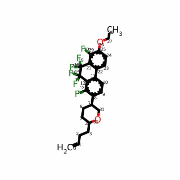 C=CCCC1CCC(c2ccc3c(c2F)C(F)(F)C(F)(F)c2c-3ccc(OCC)c2F)CO1